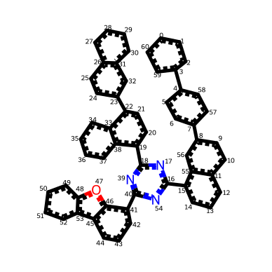 c1ccc(-c2ccc(-c3ccc4cccc(-c5nc(-c6ccc(-c7ccc8ccccc8c7)c7ccccc67)nc(-c6cccc7c6oc6ccccc67)n5)c4c3)cc2)cc1